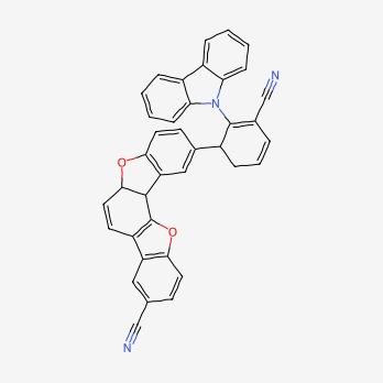 N#CC1=C(n2c3ccccc3c3ccccc32)C(c2ccc3c(c2)C2c4oc5ccc(C#N)cc5c4C=CC2O3)CC=C1